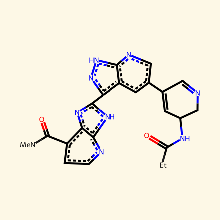 CCC(=O)NC1C=C(c2cnc3[nH]nc(-c4nc5c(C(=O)NC)ccnc5[nH]4)c3c2)C=NC1